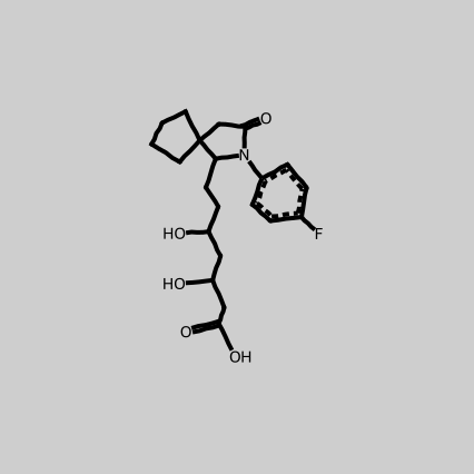 O=C(O)CC(O)CC(O)CCC1N(c2ccc(F)cc2)C(=O)CC12CCCC2